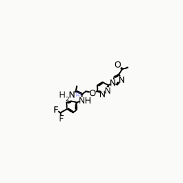 CC(=O)c1cn(-c2ccc(OC/C(Nc3ccc(C(F)F)cc3)=C(\C)N)nn2)cn1